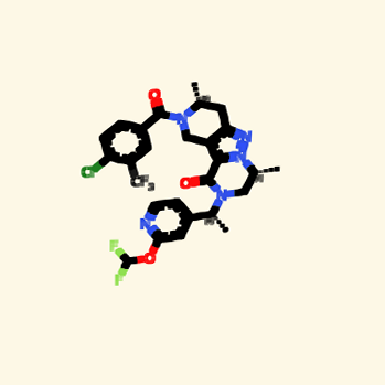 C[C@@H]1Cc2nn3c(c2CN1C(=O)c1ccc(Cl)c(C(F)(F)F)c1)C(=O)N([C@H](C)c1ccnc(OC(F)F)c1)C[C@H]3C